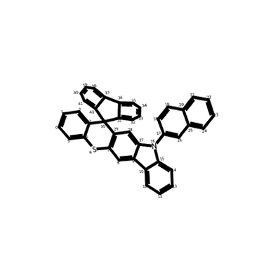 c1ccc2c(c1)Sc1cc3c4ccccc4n(-c4ccc5ccccc5c4)c3cc1C21c2ccccc2-c2ccccc21